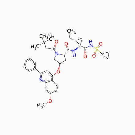 CC[C@@H]1C[C@]1(NC(=O)[C@@H]1C[C@@H](Oc2cc(-c3ccccc3)nc3cc(OC)ccc23)CN1C(=O)CC(C)(C)C)C(=O)NS(=O)(=O)C1CC1